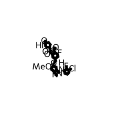 COc1cc2ncnc(Nc3cccc(Cl)c3F)c2cc1OCc1cc(F)c2c(c1)C(=O)N(C1CCC(=O)NC1=O)C2=O